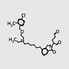 CCN(CCCCCCc1cccc2c1CN(C(C=O)CCC=O)C2=O)CCOCc1ccc(Cl)cc1C